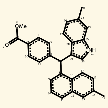 COC(=O)c1ccc(C(c2cccc3cc(C)ccc23)c2c[nH]c3cc(C)ccc23)cc1